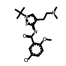 COc1ccc(Cl)cc1C(=O)/N=c1\sn(C(C)(C)C)cc1CCN(C)C